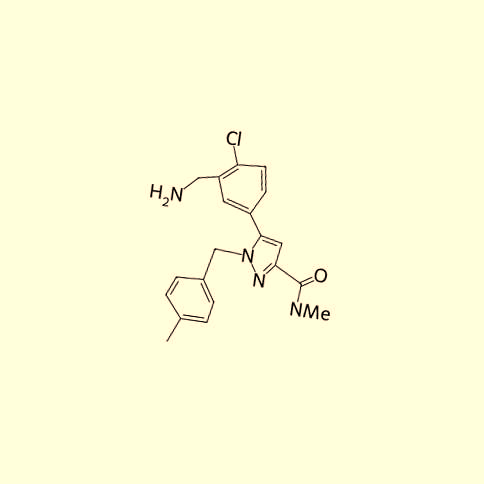 CNC(=O)c1cc(-c2ccc(Cl)c(CN)c2)n(Cc2ccc(C)cc2)n1